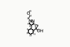 COCCn1cc(-c2ccccc2C(=O)O)cn1